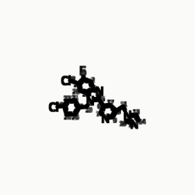 Fc1cc2nc(-c3cncc(Cn4ccnc4)c3)n(Cc3ccc(Cl)cc3)c2cc1Cl